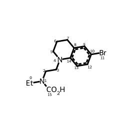 CCN(CCN1CCCc2cc(Br)ccc21)C(=O)O